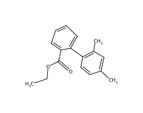 CCOC(=O)c1ccccc1-c1ccc(C)cc1C